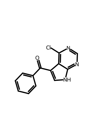 O=C(c1ccccc1)c1c[nH]c2ncnc(Cl)c12